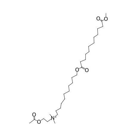 COC(=O)CCCCCCCCCCC(=O)OCCCCCCCCCCC[N+](C)(C)CCOC(C)=O